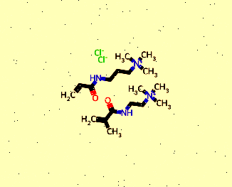 C=C(C)C(=O)NCC[N+](C)(C)C.C=CC(=O)NCCC[N+](C)(C)C.[Cl-].[Cl-]